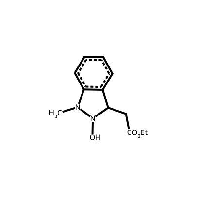 CCOC(=O)CC1c2ccccc2N(C)N1O